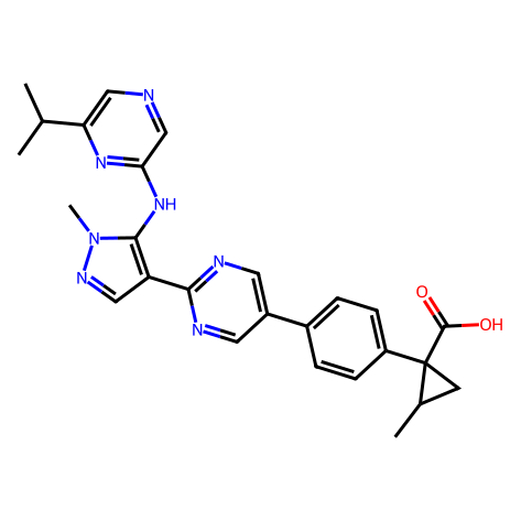 CC(C)c1cncc(Nc2c(-c3ncc(-c4ccc(C5(C(=O)O)CC5C)cc4)cn3)cnn2C)n1